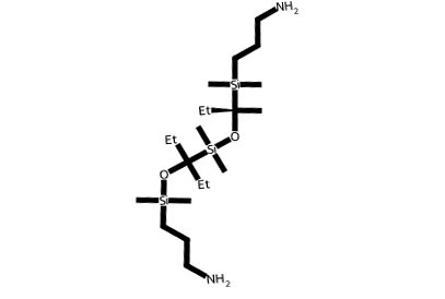 CCC(CC)(O[Si](C)(C)CCCN)[Si](C)(C)O[C@](C)(CC)[Si](C)(C)CCCN